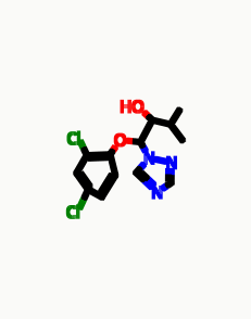 CC(C)C(O)C(Oc1ccc(Cl)cc1Cl)n1cncn1